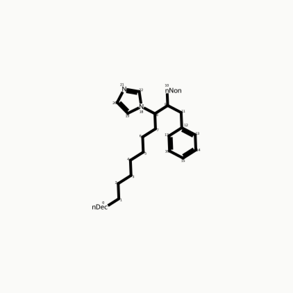 CCCCCCCCCCCCCCCCCC(C(CCCCCCCCC)Cc1ccccc1)n1ccnc1